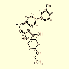 CCOC1CCC2(CC1)NC(=O)C(c1cc(-c3cccc(Cl)c3)ccc1C)=C2O